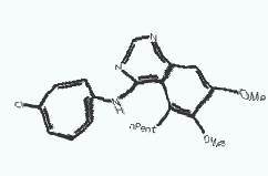 CCCCCc1c(OC)c(OC)cc2ncnc(Nc3ccc(Cl)cc3)c12